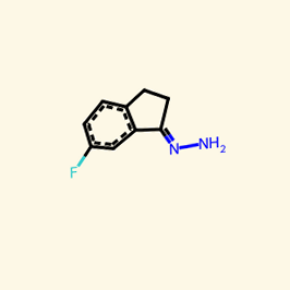 NN=C1CCc2ccc(F)cc21